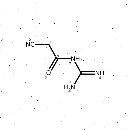 N#CCC(=O)NC(=N)N